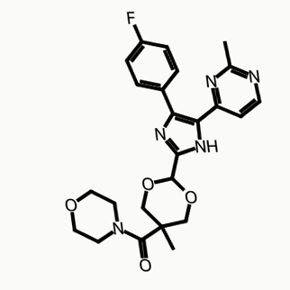 Cc1nccc(-c2[nH]c(C3OCC(C)(C(=O)N4CCOCC4)CO3)nc2-c2ccc(F)cc2)n1